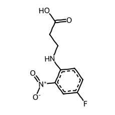 O=C(O)CCNc1ccc(F)cc1[N+](=O)[O-]